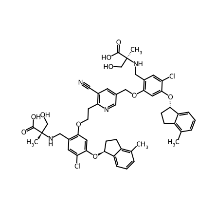 Cc1cccc2c1CC[C@@H]2Oc1cc(OCCc2ncc(COc3cc(O[C@H]4CCc5c(C)cccc54)c(Cl)cc3CN[C@@](C)(CO)C(=O)O)cc2C#N)c(CN[C@@](C)(CO)C(=O)O)cc1Cl